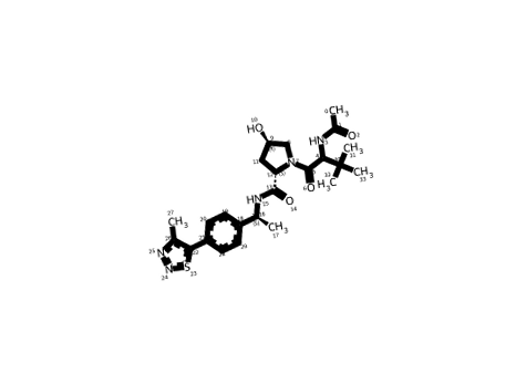 CC(=O)NC(C(=O)N1C[C@H](O)C[C@H]1C(=O)N[C@@H](C)c1ccc(-c2snnc2C)cc1)C(C)(C)C